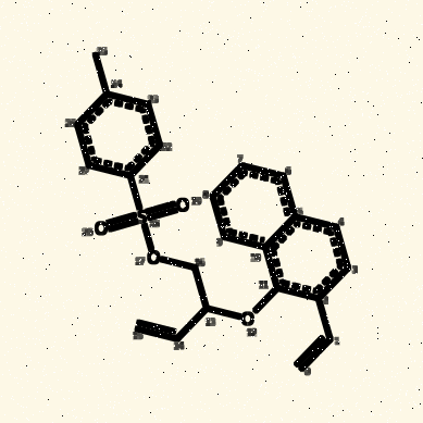 C=Cc1ccc2ccccc2c1OC(C=C)COS(=O)(=O)c1ccc(C)cc1